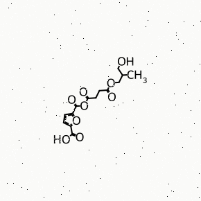 CC(CO)COC(=O)CCC(=O)OC(=O)c1ccc(C(=O)O)o1